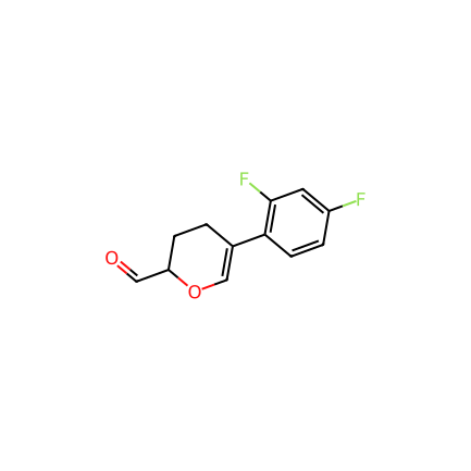 O=CC1CCC(c2ccc(F)cc2F)=CO1